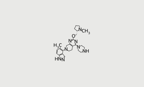 Cc1ccc2[nH]ncc2c1N1CCc2c(nc(OC[C@@H]3CCCN3C)nc2N2CCNCC2)C1